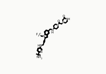 CC(C)(N)c1ccc(NCC#Cc2cc3cc(CNC4CCN(C(=O)CN5CCNC(=O)C5)CC4)ccc3n2CC(F)(F)F)cn1